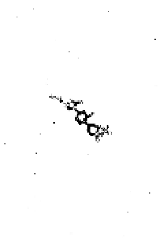 CC(=O)NC[C@H]1CN(c2ccc(C3=CCS(=O)(=NS(C)(=O)=O)CC3)c(F)c2)C(=O)O1